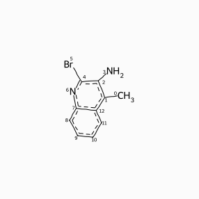 Cc1c(N)c(Br)nc2ccccc12